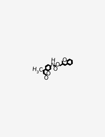 Cc1cc(=O)oc2cc(NC(=O)OCC3=Cc4ccccc4OC3)ccc12